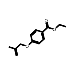 C=C(C)COc1ccc(C(=O)OCC)cc1